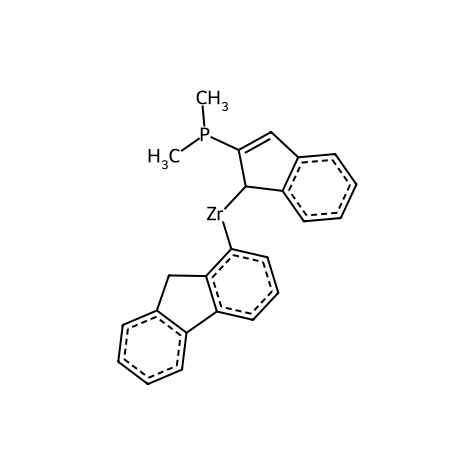 CP(C)C1=Cc2ccccc2[CH]1[Zr][c]1cccc2c1Cc1ccccc1-2